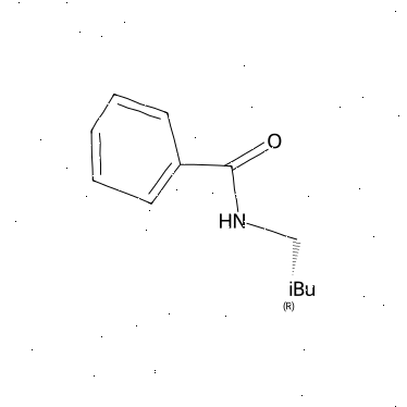 CC[C@@H](C)CNC(=O)c1ccccc1